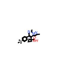 CCn1nc(C)cc1/C(=C(\C#N)c1ccc([Si](C)(C)C)cc1)C1(C(=O)O)CCC1